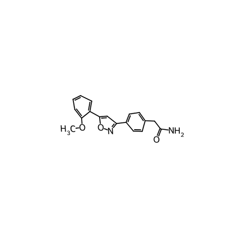 COc1ccccc1-c1cc(-c2ccc(CC(N)=O)cc2)no1